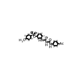 CC(=O)c1ccc(NC(=O)NC(=O)Nc2cccc(OS(=O)(=O)c3ccc(C)cc3)c2)cc1